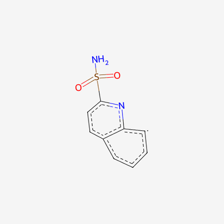 NS(=O)(=O)c1ccc2ccc[c]c2n1